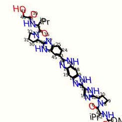 COC(=O)NC(C(=O)N1CCCC1c1ncc(-c2nc3cc4nc(-c5ccc6nc(C7CCCN7C(=O)C(NC(=O)CO)C(C)C)[nH]c6c5)[nH]c4cc3[nH]2)[nH]1)C(C)C